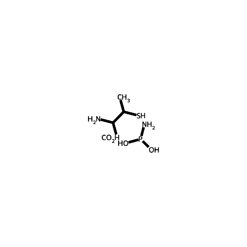 CC(S)C(N)C(=O)O.NP(O)O